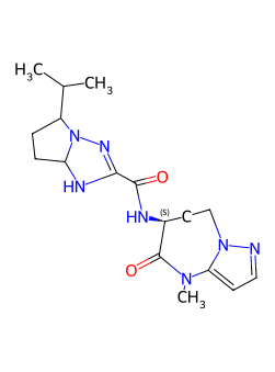 CC(C)C1CCC2NC(C(=O)N[C@H]3CCn4nccc4N(C)C3=O)=NN21